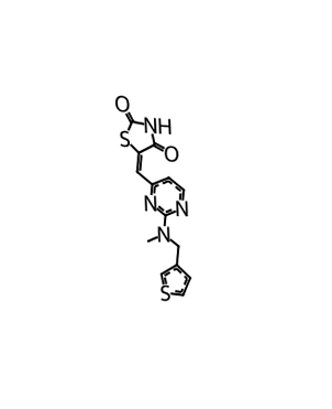 CN(Cc1ccsc1)c1nccc(/C=C2/SC(=O)NC2=O)n1